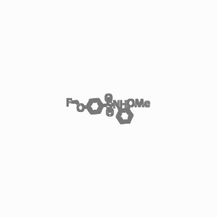 COc1ccccc1NS(=O)(=O)c1ccc(OCF)cc1